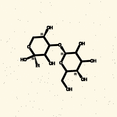 CC[C@]1(O)OC[C@@H](O)C(O[C@@H]2OC(CO)[C@H](O)C(O)C2O)C1O